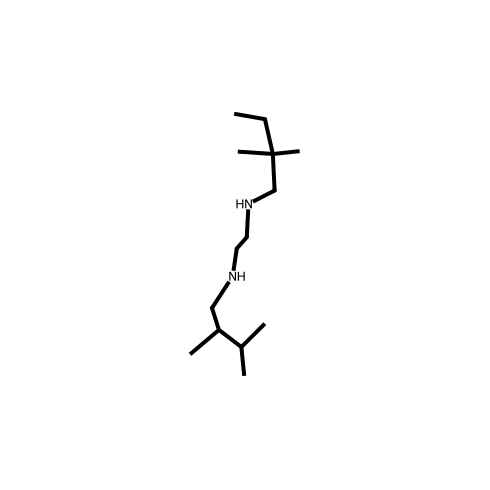 CCC(C)(C)CNCCNCC(C)C(C)C